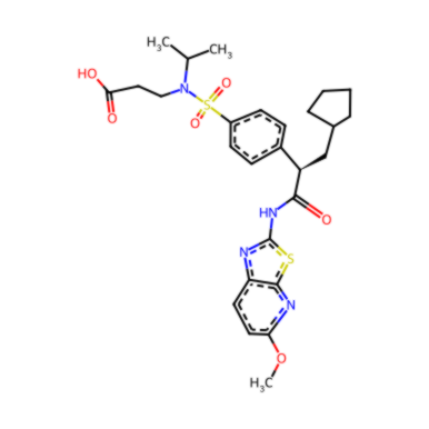 COc1ccc2nc(NC(=O)[C@H](CC3CCCC3)c3ccc(S(=O)(=O)N(CCC(=O)O)C(C)C)cc3)sc2n1